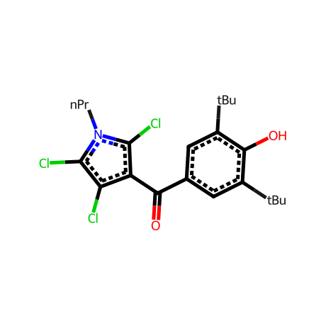 CCCn1c(Cl)c(Cl)c(C(=O)c2cc(C(C)(C)C)c(O)c(C(C)(C)C)c2)c1Cl